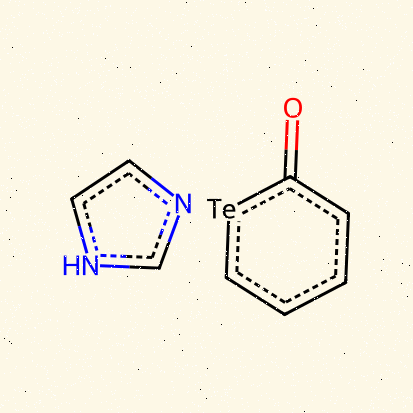 O=c1cccc[te]1.c1c[nH]cn1